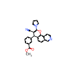 COC(=O)c1cccc(C2C(C#N)=C(n3cccc3)Oc3c2ccc2cnccc32)c1